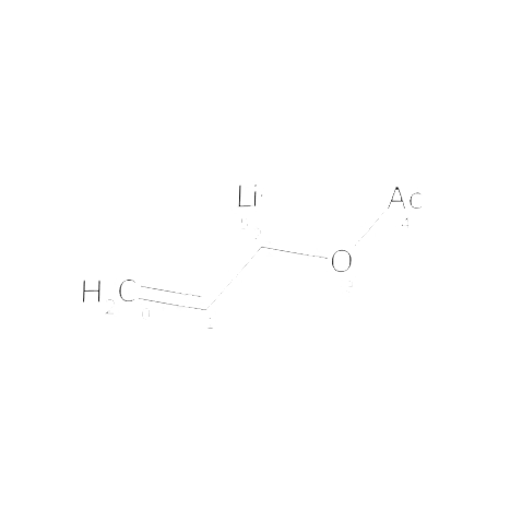 C=CCOC(C)=O.[Li]